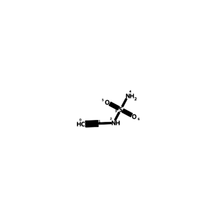 C#CNS(N)(=O)=O